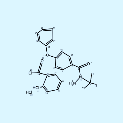 CC(C)(C)N(N)C(=O)c1ccc(Oc2ccccc2)cc1.Cl.Cl.O=C(Cl)c1ccccc1